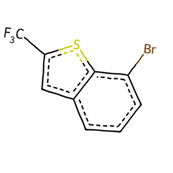 FC(F)(F)c1cc2cccc(Br)c2s1